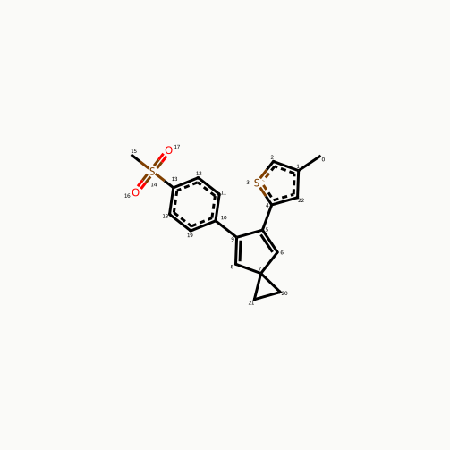 Cc1csc(C2=CC3(C=C2c2ccc(S(C)(=O)=O)cc2)CC3)c1